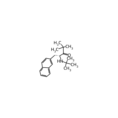 CC(C)(C)N[C@H](Cc1ccc2ccccc2c1)C(=O)C(C)(C)C